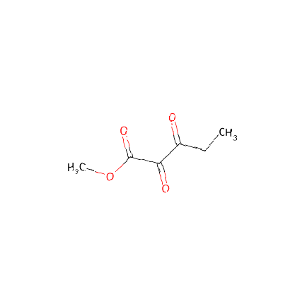 CCC(=O)C(=O)C(=O)OC